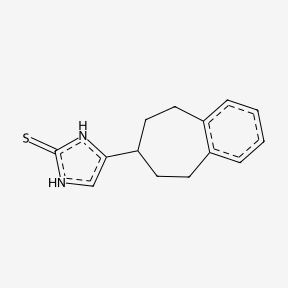 S=c1[nH]cc(C2CCc3ccccc3CC2)[nH]1